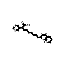 O=C(O)C(CCCCCCCc1ccc2c(n1)NCCC2)c1cncnc1